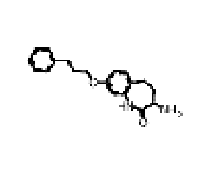 NC1CCc2ccc(OCCCc3ccccc3)cc2NC1=O